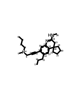 CCCCN(C)CC#Cc1cc2c(cc1CCC)C1(CCCC1)CC(NC)=N2